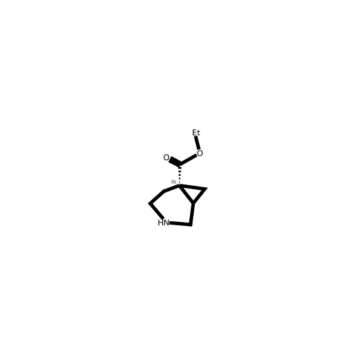 CCOC(=O)[C@@]12CCNCC1C2